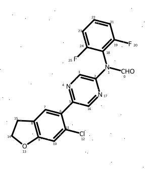 O=CN(c1cnc(-c2cc3c(cc2Cl)OCC3)cn1)c1c(F)cccc1F